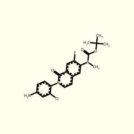 CN(C(=O)OC(C)(C)C)c1cc2ccn(-c3ccc(N)cc3Cl)c(=O)c2cc1F